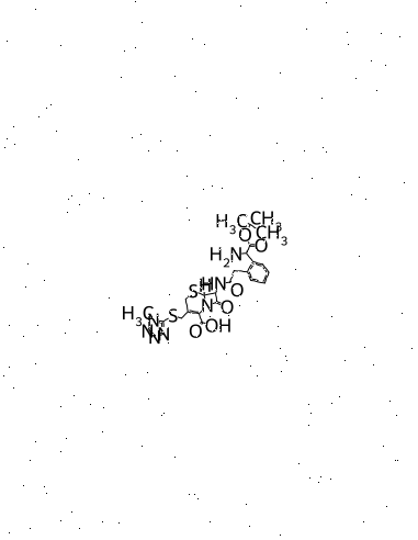 Cn1nnnc1SCC1=C(C(=O)O)N2C(=O)C(NC(=O)Cc3ccccc3C(N)C(=O)OC(C)(C)C)[C@H]2SC1